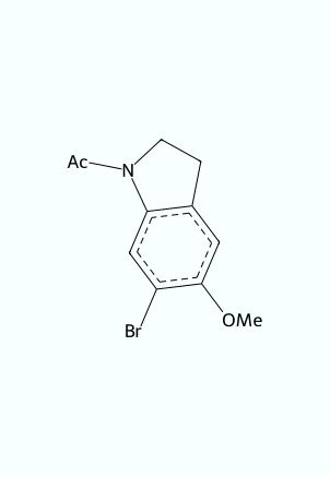 COc1cc2c(cc1Br)N(C(C)=O)CC2